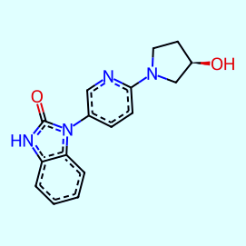 O=c1[nH]c2ccccc2n1-c1ccc(N2CC[C@@H](O)C2)nc1